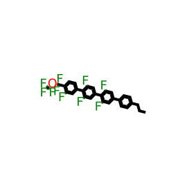 CCCc1ccc(-c2cc(F)c(-c3cc(F)c(-c4ccc(C(F)(F)OC(F)(F)F)c(F)c4)c(F)c3)c(F)c2)cc1